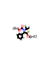 CC(C)(C)OC(=O)N1C(c2ccccc2)C(OC=O)SC1(C)C